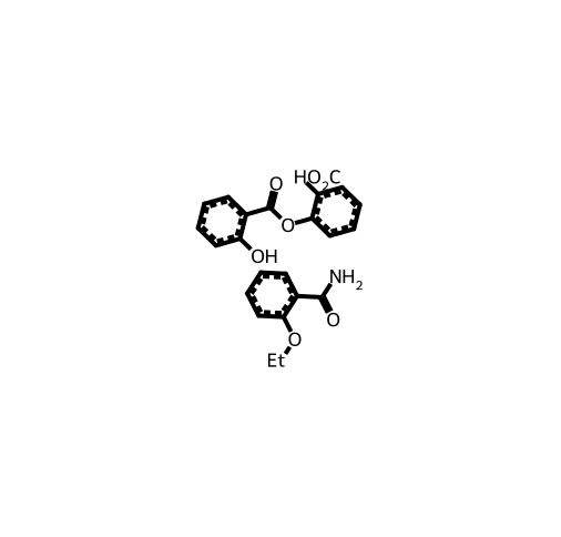 CCOc1ccccc1C(N)=O.O=C(Oc1ccccc1C(=O)O)c1ccccc1O